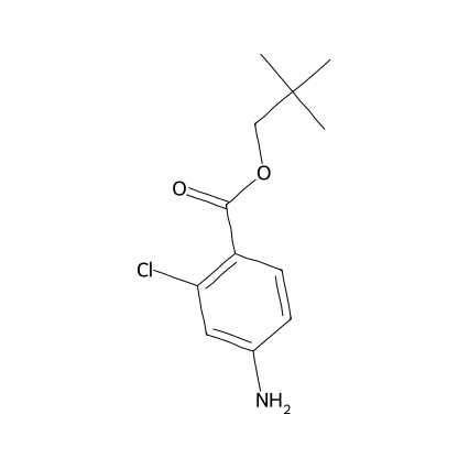 CC(C)(C)COC(=O)c1ccc(N)cc1Cl